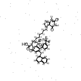 Cn1c(=O)c2c(ncn2CCCCCCN2CC(C(=O)O)n3c(c(-c4cccc(C(F)(F)F)c4)c(Cc4cccc5ccccc45)cc3=O)S2(=O)=O)n(C)c1=O